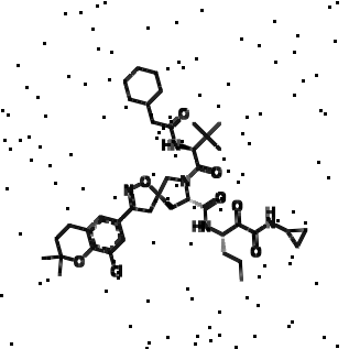 CCC[C@H](NC(=O)[C@@H]1C[C@]2(CC(c3cc(Cl)c4c(c3)CCC(C)(C)O4)=NO2)CN1C(=O)[C@@H](NC(=O)CC1CCCCC1)C(C)(C)C)C(=O)C(=O)NC1CC1